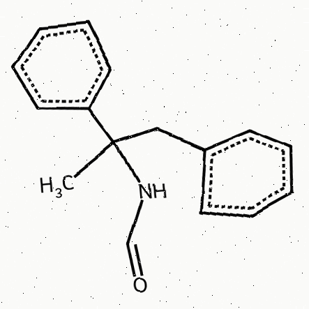 CC(Cc1ccccc1)(NC=O)c1ccccc1